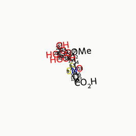 COc1cc(/C=C2\SC(=S)N(c3ccc(C(=O)O)cc3)C2=O)ccc1O[C@@H]1O[C@H](CO)[C@H](O)[C@H](O)[C@H]1O